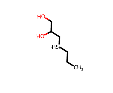 CCC[SiH]CC(O)CO